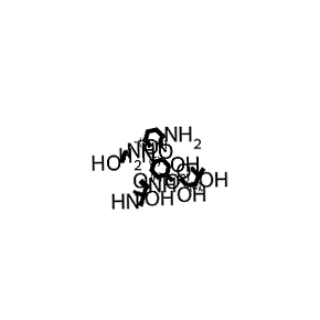 C[C@@H]1C(O)[C@@H](OC2C(O)C(O[C@H]3O[C@H](CNCCO)CCC3N)[C@@H](N)C[C@H]2NC(=O)C2(O)CNC2)OCC1(C)O